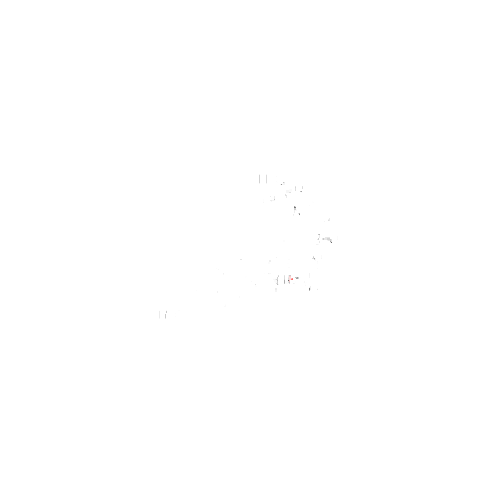 CCCc1ccc(-c2ccc([C@@]3(CC(=O)O)CCN(S(C)(=O)=O)CCS3(=O)=O)s2)cc1